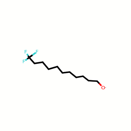 [O]CCCCCCCCCCC(F)(F)F